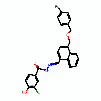 CC(C)c1ccc(COCc2ccc(/C=N/NC(=O)c3ccc(O)c(Cl)c3)c3ccccc23)cc1